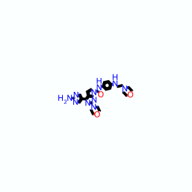 Nc1ncc(-c2nc(N3CCOCC3)nc3c2ccn3C(=O)Nc2ccc(NCCN3CCOCC3)cc2)cn1